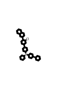 Clc1cc(-c2ccc(N(c3ccccc3)c3ccc(-c4ccccc4)cc3)cc2)ccc1-c1ccc2ccccc2c1